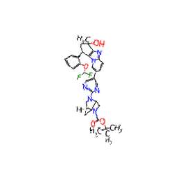 CC(C)(C)OC(=O)N1CC2N(c3ncc(-c4ccc5nc6c(n5c4)[C@@H](c4ccccc4OC(F)F)CC6(C)O)cn3)C[C@@H]3CC231